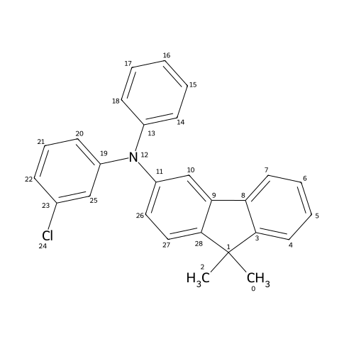 CC1(C)c2ccccc2-c2cc(N(c3ccccc3)c3cccc(Cl)c3)ccc21